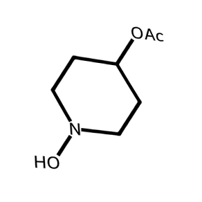 CC(=O)OC1CCN(O)CC1